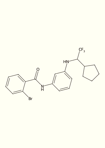 O=C(Nc1cccc(NC(C2CCCC2)C(F)(F)F)c1)c1ccccc1Br